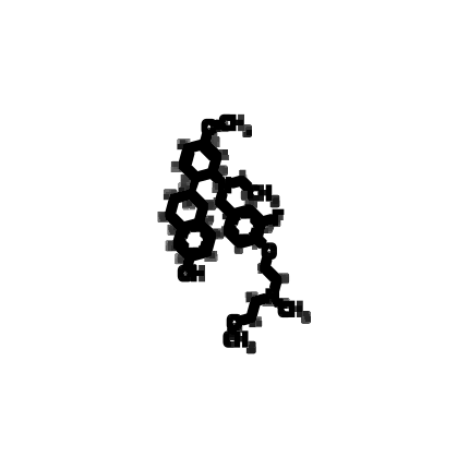 CCN(Cc1ccc(OCCN(C)CCOC)c(F)c1)C1C=C(OC)C=CC1[C@@H]1CCc2cc(O)ccc2C1